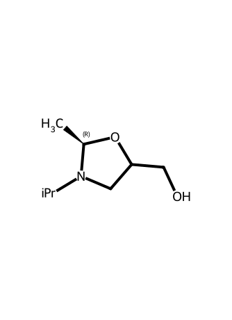 CC(C)N1CC(CO)O[C@@H]1C